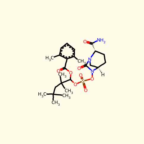 Cc1cccc(C)c1C(=O)OC(OS(=O)(=O)ON1C(=O)N2C[C@H]1CC[C@H]2C(N)=O)C(C)(C)CC(C)(C)C